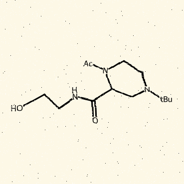 CC(=O)N1CCN(C(C)(C)C)CC1C(=O)NCCO